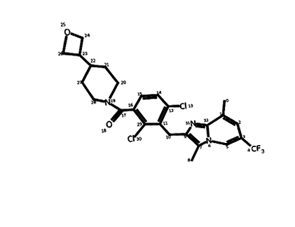 Cc1cc(C(F)(F)F)cn2c(C)c(Cc3c(Cl)ccc(C(=O)N4CCC(C5COC5)CC4)c3Cl)nc12